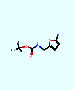 CC(C)(C)OC(=O)NCc1ccc(N)o1